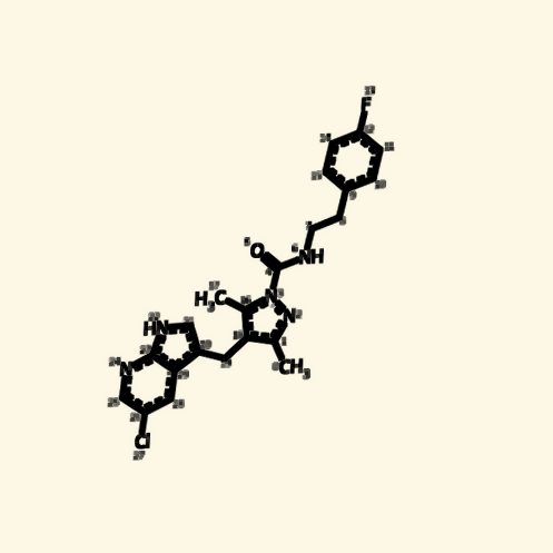 Cc1nn(C(=O)NCCc2ccc(F)cc2)c(C)c1Cc1c[nH]c2ncc(Cl)cc12